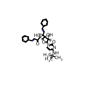 C[Si](C)(C)Nc1ccn([C@@H]2O[C@H](C(O)C(=O)/C=C/c3ccccc3)[C@](O)(C(=O)/C=C/c3ccccc3)C2(F)F)c(=O)n1